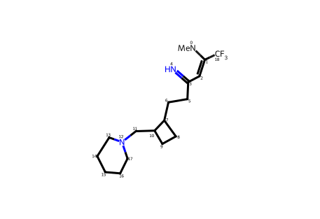 CN/C(=C\C(=N)CCC1CCC1CN1CCCCC1)C(F)(F)F